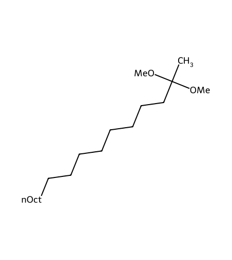 CCCCCCCCCCCCCCCCC(C)(OC)OC